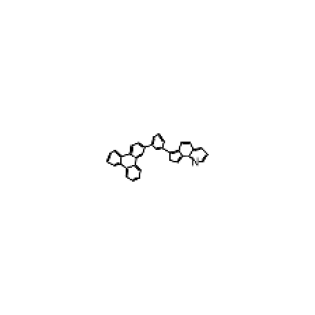 C1=c2c(ccc3cccnc23)=C(c2cccc(-c3ccc4c5ccccc5c5ccccc5c4c3)c2)C1